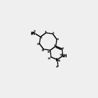 CC(C)C1CCCC2=CNN(C)CC2CC1